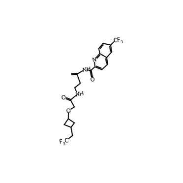 C=C(CCNC(=O)COC1CC(CC(F)(F)F)C1)NC(=O)c1ccc2cc(C(F)(F)F)ccc2n1